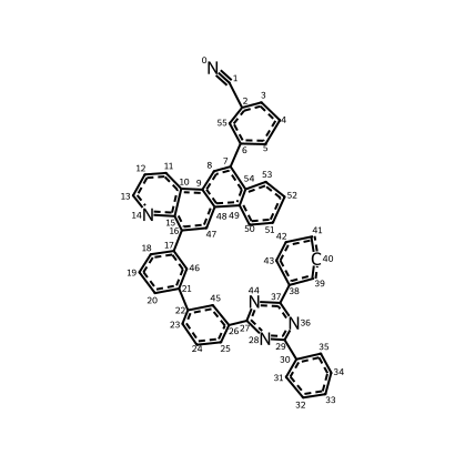 N#Cc1cccc(-c2cc3c4cccnc4c(-c4cccc(-c5cccc(-c6nc(-c7ccccc7)nc(-c7ccccc7)n6)c5)c4)cc3c3ccccc23)c1